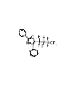 FC(F)(F)C(F)(F)C(F)(F)C(F)(F)c1oc(-c2ccccc2)nc1-c1ccccc1